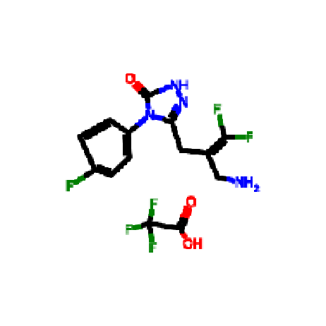 NCC(Cc1n[nH]c(=O)n1-c1ccc(F)cc1)=C(F)F.O=C(O)C(F)(F)F